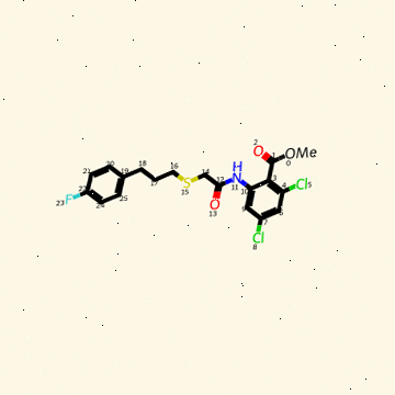 COC(=O)c1c(Cl)cc(Cl)cc1NC(=O)CSCCCc1ccc(F)cc1